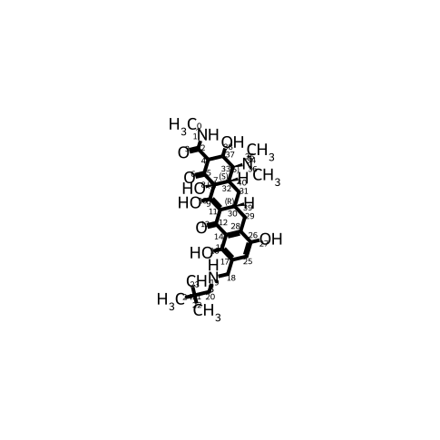 CNC(=O)C1C(=O)[C@@]2(O)C(O)=C3C(=O)c4c(O)c(CNCC(C)(C)C)cc(O)c4C[C@H]3C[C@H]2[C@H](N(C)C)C1O